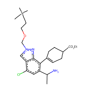 CCOC(=O)C1CC=C(c2c(C(C)N)cc(Cl)c3cn(COCC[Si](C)(C)C)nc23)CC1